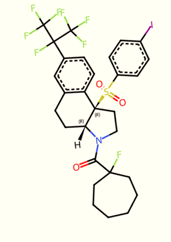 O=C(N1CC[C@@]2(S(=O)(=O)c3ccc(I)cc3)c3ccc(C(F)(C(F)(F)F)C(F)(F)F)cc3CC[C@@H]12)C1(F)CCCCCC1